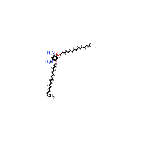 CCCCCCCCCCCCCCCCOc1cc(OCCCCCCCCCCCCCCCC)c(N)cc1N